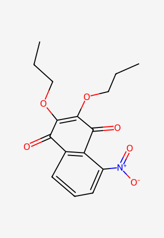 CCCOC1=C(OCCC)C(=O)c2c(cccc2[N+](=O)[O-])C1=O